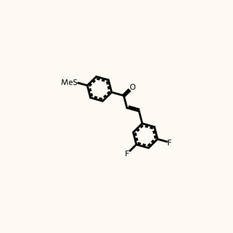 CSc1ccc(C(=O)C=Cc2cc(F)cc(F)c2)cc1